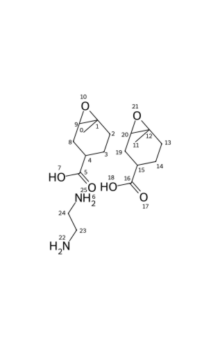 CC12CCC(C(=O)O)CC1O2.CC12CCC(C(=O)O)CC1O2.NCCN